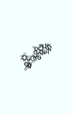 COc1cnc(-c2cnccn2)c2[nH]cc(C(=O)C(=O)N3CCC(=C(c4ccccc4)c4nnc(C)o4)CC3)c12